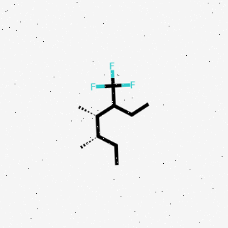 CCC([C@@H](C)[C@@H](C)CC)C(F)(F)F